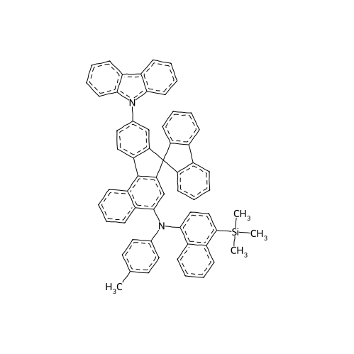 Cc1ccc(N(c2ccc([Si](C)(C)C)c3ccccc23)c2cc3c(c4ccccc24)-c2ccc(-n4c5ccccc5c5ccccc54)cc2C32c3ccccc3-c3ccccc32)cc1